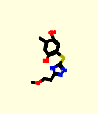 COCCc1nnc(Sc2cc(O)c(C)cc2O)[nH]1